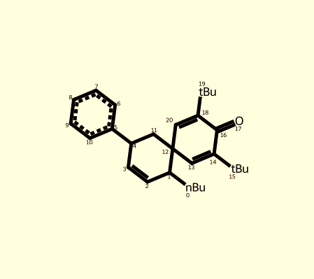 CCCCC1C=CC(c2ccccc2)CC12C=C(C(C)(C)C)C(=O)C(C(C)(C)C)=C2